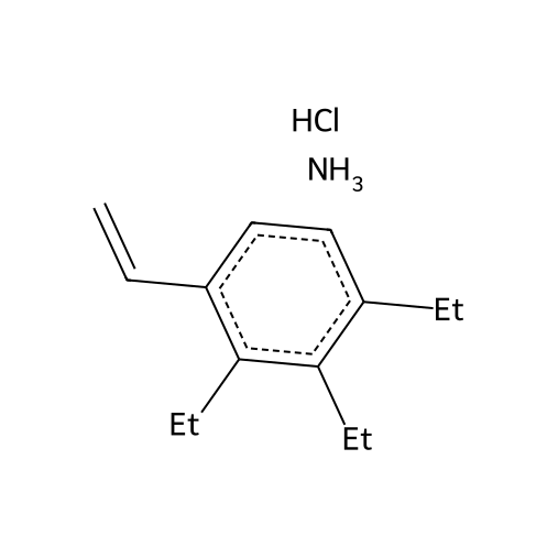 C=Cc1ccc(CC)c(CC)c1CC.Cl.N